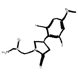 COc1cc(F)c([C@H]2CC(=O)N(C[S+](N)[O-])C2)c(F)c1